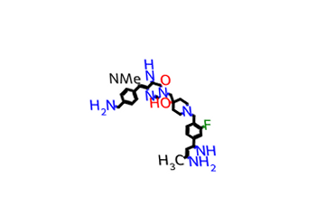 CN/C(=C1/N=CN(CC2(O)CCN(Cc3ccc(C(=N)/C=C(/C)N)cc3F)CC2)C(=O)C1=N)c1ccc(CN)cc1